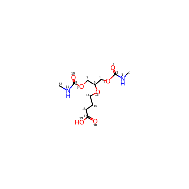 CNC(=O)OCC(COC(=O)NC)OCCCC(=O)O